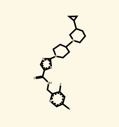 O=C(NCc1ncc(F)cc1F)c1cnc(N2CCC(N3CCCC(C4CC4)C3)CC2)s1